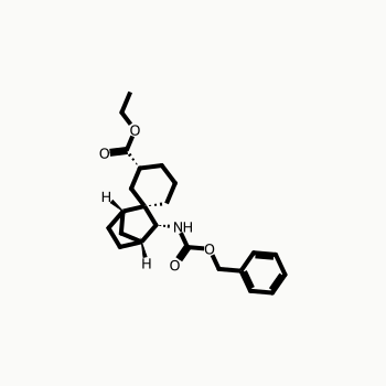 CCOC(=O)[C@@H]1CCC[C@@]2(C1)[C@H]1CC[C@H](C1)[C@H]2NC(=O)OCc1ccccc1